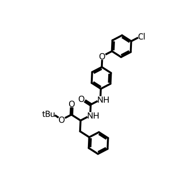 CC(C)(C)OC(=O)C(Cc1ccccc1)NC(=O)Nc1ccc(Oc2ccc(Cl)cc2)cc1